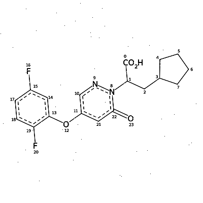 O=C(O)C(CC1CCCC1)n1ncc(Oc2cc(F)ccc2F)cc1=O